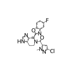 Cn1nc(Cl)cc1C(=O)N1CCc2[nH]cnc2[C@H]1c1nc2cc(F)ccc2o1